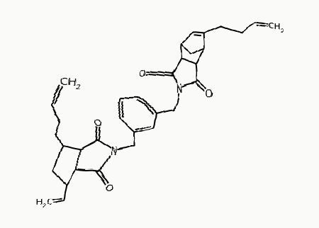 C=CCCC1=CC2CC1C1C(=O)N(Cc3cccc(CN4C(=O)C5C(C=C)CC(CCC=C)C5C4=O)c3)C(=O)C21